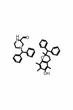 Cc1c(C)c2c(c(C)c1O)CCC(C)(C(c1ccccc1)c1ccccc1)O2.O=CC1CN(C(c2ccccc2)c2ccccc2)CCN1